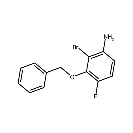 Nc1ccc(F)c(OCc2ccccc2)c1Br